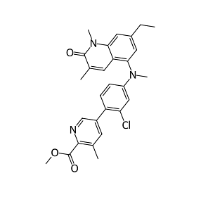 CCc1cc(N(C)c2ccc(-c3cnc(C(=O)OC)c(C)c3)c(Cl)c2)c2cc(C)c(=O)n(C)c2c1